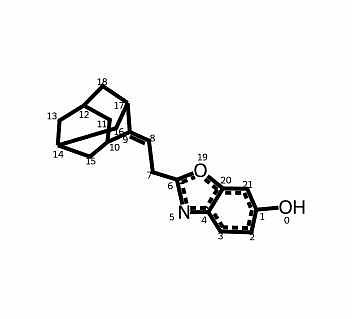 Oc1ccc2nc(CC=C3C4CC5CC(C4)CC3C5)oc2c1